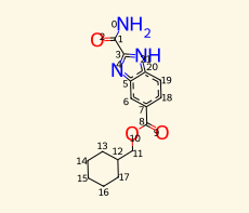 NC(=O)c1nc2cc(C(=O)OCC3CCCCC3)ccc2[nH]1